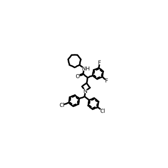 O=C(NC1CCCCCC1)C(c1cc(F)cc(F)c1)C1CN(C(c2ccc(Cl)cc2)c2ccc(Cl)cc2)C1